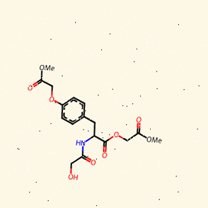 COC(=O)COC(=O)C(Cc1ccc(OCC(=O)OC)cc1)NC(=O)CO